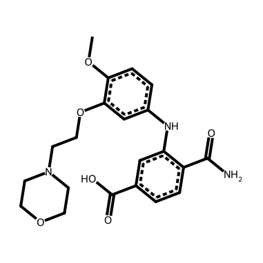 COc1ccc(Nc2cc(C(=O)O)ccc2C(N)=O)cc1OCCN1CCOCC1